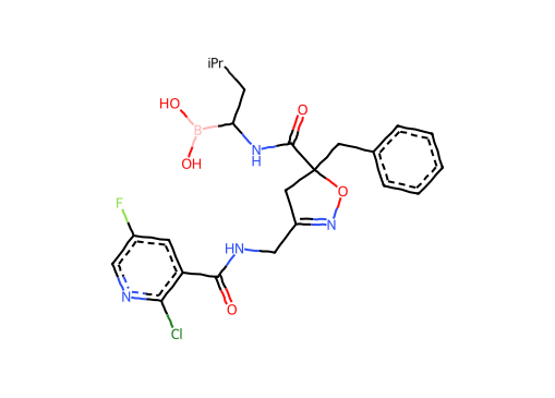 CC(C)CC(NC(=O)C1(Cc2ccccc2)CC(CNC(=O)c2cc(F)cnc2Cl)=NO1)B(O)O